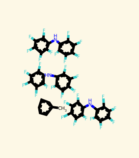 Cc1ccccc1.Fc1c(F)c(F)c(Nc2c(F)c(F)c(F)c(F)c2F)c(F)c1F.Fc1c(F)c(F)c(Nc2c(F)c(F)c(F)c(F)c2F)c(F)c1F.Fc1c(F)c(F)c(Nc2c(F)c(F)c(F)c(F)c2F)c(F)c1F